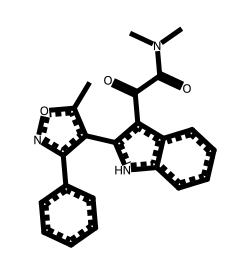 Cc1onc(-c2ccccc2)c1-c1[nH]c2ccccc2c1C(=O)C(=O)N(C)C